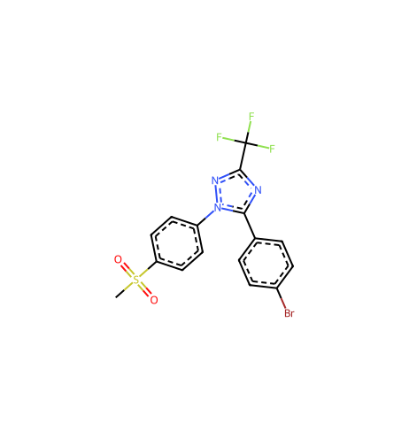 CS(=O)(=O)c1ccc(-n2nc(C(F)(F)F)nc2-c2ccc(Br)cc2)cc1